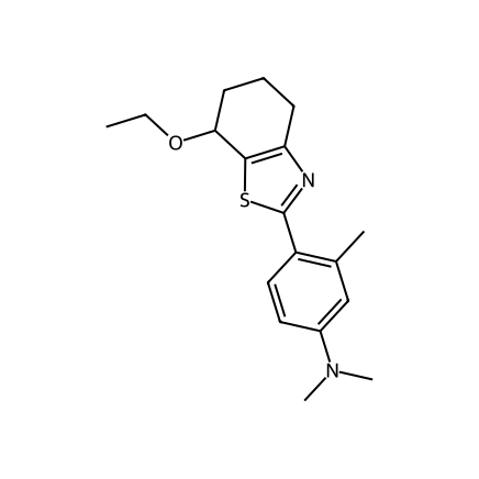 CCOC1CCCc2nc(-c3ccc(N(C)C)cc3C)sc21